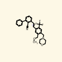 COCc1cc(/C=C/c2cccc(-c3ccccc3)c2C#N)c(C(F)(F)F)cc1CN1CCOCC1